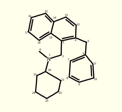 CN(Cc1c(Cc2ccccc2)ccc2ccccc12)C1CCCCC1